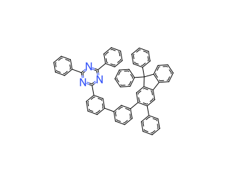 c1ccc(-c2nc(-c3ccccc3)nc(-c3cccc(-c4cccc(-c5cc6c(cc5-c5ccccc5)-c5ccccc5C6(c5ccccc5)c5ccccc5)c4)c3)n2)cc1